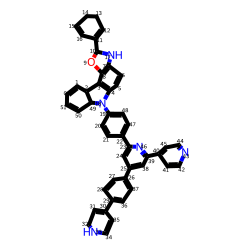 C1=CC2c3c(ccc4c3OC(C3=CCCC=C3)N4)N(c3ccc(-c4cc(-c5ccc(C6=CCNC=C6)cc5)cc(-c5ccncc5)n4)cc3)C2C=C1